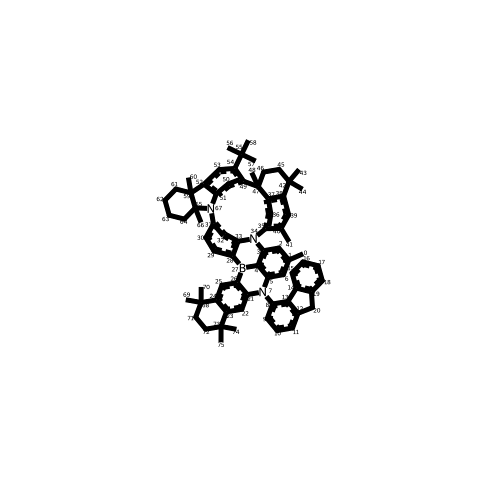 Cc1cc2c3c(c1)N(c1cccc4c1-c1ccccc1C4)c1cc4c(cc1B3c1ccc3cc1N2c1cc2c(cc1C)C(C)(C)CCC2(C)c1cc2c(cc1C(C)(C)C)C1(C)CCCCC1(C)N32)C(C)(C)CCC4(C)C